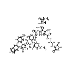 Cc1cccc(CN(Cc2nc(-c3cccc(C)n3)c(-c3ccc4ncnn4c3)[nH]2)C(=O)OCc2ccc(NC(=O)C(CCCNC(N)=O)NC(=O)C(NC(=O)CCCCCN3C(=O)C=CC3=O)C(C)C)cc2)c1